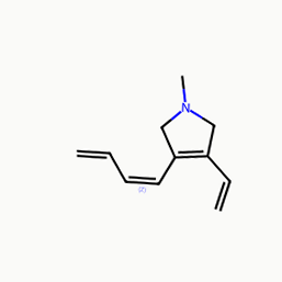 C=C/C=C\C1=C(C=C)CN(C)C1